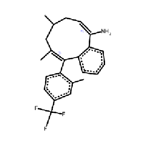 C/C1=C(\c2ccc(C(F)(F)F)cc2C)c2ccccc2/C(N)=C\CC(C)C1